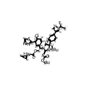 CC(C)(C)C[C@]1(c2ccc(-c3cnn(C(F)F)c3)cc2)N/C(=N\C(=O)OC(C)(C)C)N([C@H](COC(=O)NC2CC2)c2ccc(Cl)c(-c3nncs3)c2)C1=O